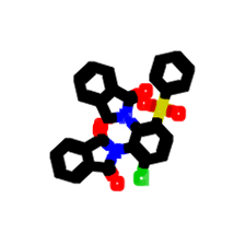 O=C1c2ccccc2C(=O)N1c1c(Cl)ccc(S(=O)(=O)c2ccccc2)c1N1C(=O)c2ccccc2C1=O